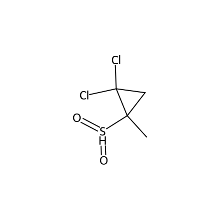 CC1([SH](=O)=O)CC1(Cl)Cl